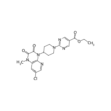 CCOC(=O)c1cnc(N2CCC(n3c(=O)c(=O)n(C)c4cc(Cl)cnc43)CC2)nc1